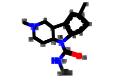 Cc1ccc2c(c1)C1CN(C)CCC1N2C(=O)NC(C)(C)C